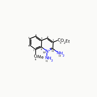 CCOC(=O)c1cc2cccc(OC)c2[n+](N)c1N